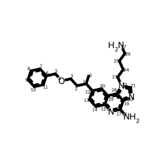 CC(CCOCc1ccccc1)c1ccc2nc(N)c3ncn(CCCCN)c3c2c1